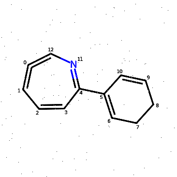 C1=CC=CC(C2=CCCC=C2)=NC=1